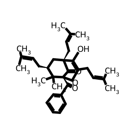 CC(C)=CCC1=C(O)[C@@]2(CC=C(C)C)C[C@H](CC=C(C)C)C(C)(C)[C@@](C(=O)c3ccccc3)(C1=O)C2=O